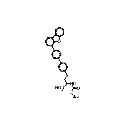 CC(C)(C)OC(=O)NC(CSc1ccc(-c2ccc(-c3cccc4c3oc3ccccc34)cc2)cc1)C(=O)O